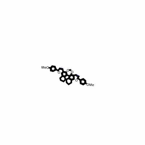 COc1ccc(C(=O)/C=C\c2cc3c(c4c2OCOc2c(/C=C\C(=O)c5ccc(OC)cc5)cc5c(c2-4)CCCC5)CCCC3)cc1